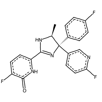 C[C@@H]1NC(c2ccc(F)c(=O)[nH]2)=N[C@]1(c1ccc(F)cc1)c1ccc(F)nc1